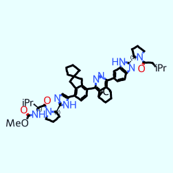 COC(=O)N[C@H](C(=O)N1CCC[C@@H]1c1ncc(-c2ccc(-c3nnc(-c4ccc5nc([C@@H]6CCCN6C(=O)CC(C)C)[nH]c5c4)c4c3C3CCC4CC3)c3c2CC2(CCCC2)C3)[nH]1)C(C)C